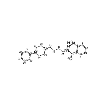 Nc1ccccc1C(=O)NCCCCN1CCN(c2ccccc2)CC1